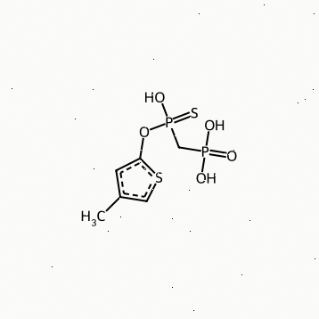 Cc1csc(OP(O)(=S)CP(=O)(O)O)c1